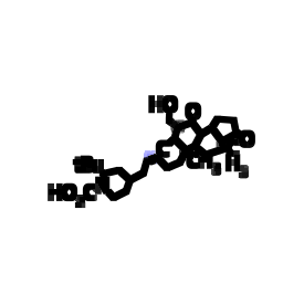 CC(C)(C)C1CC(C/C=C2\CC[C@]3(C)C4CC[C@]5(C)C(=O)CCC5C4C(=O)[C@H](CO)C3C2)CCN1C(=O)O